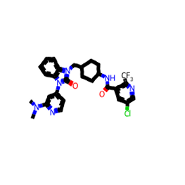 CN(C)c1cc(-n2c(=O)n(CC3CCC(NC(=O)c4cc(Cl)cnc4C(F)(F)F)CC3)c3ccccc32)ccn1